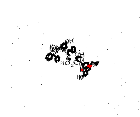 CC(=O)Nc1ccc(O)cc1.CC[C@@H](c1cccc(O)c1)[C@@H](C)CN(C)C.NC(=O)C[S+]([O-])C(c1ccccc1)c1ccccc1.O=C(O)c1cccnc1.O=C1CC[C@@]2(O)[C@H]3Cc4ccc(O)c5c4[C@@]2(CCN3CC2CC2)[C@H]1O5